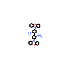 Nc1cc(N2c3ccccc3Oc3ccccc32)ccc1-c1ccc(N2c3ccccc3Oc3ccccc32)cc1N